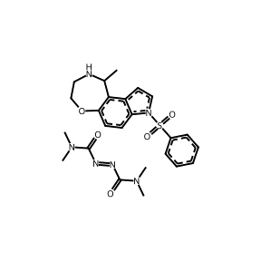 CC1NCCOc2ccc3c(ccn3S(=O)(=O)c3ccccc3)c21.CN(C)C(=O)N=NC(=O)N(C)C